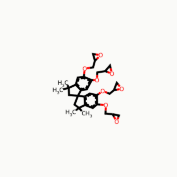 CC1(C)CC2(CC(C)(C)c3cc(OCC4CO4)c(OCC4CO4)cc32)c2cc(OCC3CO3)c(OCC3CO3)cc21